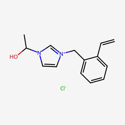 C=Cc1ccccc1C[n+]1ccn(C(C)O)c1.[Cl-]